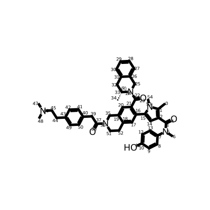 Cc1c(C(=O)N(C)c2ccc(O)cc2)cc(-c2cc3c(cc2C(=O)N2Cc4ccccc4C[C@H]2C)CN(C(=O)Cc2ccc(CCN(C)C)cc2)CC3)n1C